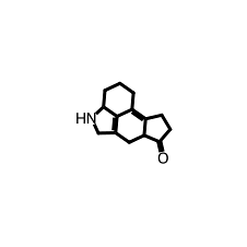 O=C1CCC2=C3CCCC4NCC(=C34)CC12